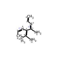 C=C/N=C(/N)C(/N=C\C)=C(C)N